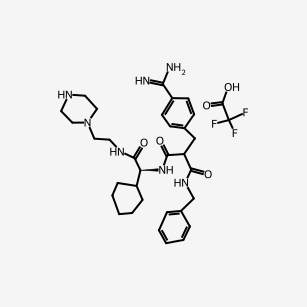 N=C(N)c1ccc(CC(C(=O)NCc2ccccc2)C(=O)N[C@H](C(=O)NCCN2CCNCC2)C2CCCCC2)cc1.O=C(O)C(F)(F)F